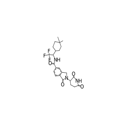 CC1(C)CCC(C(NC(=O)c2ccc3c(c2)CN(C2CCC(=O)NC2=O)C3=O)C(F)(F)F)CC1